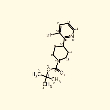 CC(C)(C)OC(=O)N1CCC(c2ncccc2F)CC1